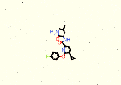 CC(C)C[C@H](NC(=O)c1ccc(C2CC2)c(Oc2ccc(F)cc2)n1)C(N)=O